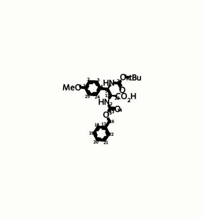 COc1ccc([C@@H](NC(=O)OC(C)(C)C)[C@H](NC(=O)OCc2ccccc2)C(=O)O)cc1